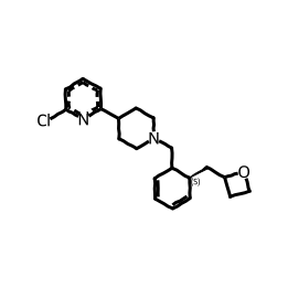 Clc1cccc(C2CCN(CC3C=CC=C[C@@H]3CC3CCO3)CC2)n1